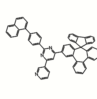 c1cncc(-c2cc(-c3ccc4c(c3)-c3ccccc3-c3ccccc3C43c4ccccc4-c4ccccc43)nc(-c3ccc(-c4cccc5ccccc45)cc3)n2)c1